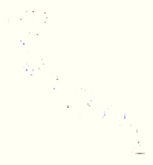 O=C(Nc1ccc(N2CCN(CC3CC3)CC2)nc1)c1nnc(Nc2ccccc2F)o1